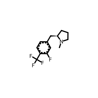 CN1CCC[C@@H]1Cc1ccc(C(F)(F)F)c(F)c1